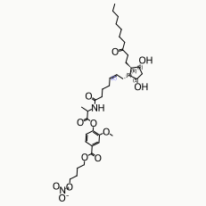 CCCCCCCC(=O)CC[C@@H]1[C@@H](C/C=C\CCCC(=O)NC(C)C(=O)Oc2ccc(C(=O)OCCCCO[N+](=O)[O-])cc2OC)[C@@H](O)C[C@H]1O